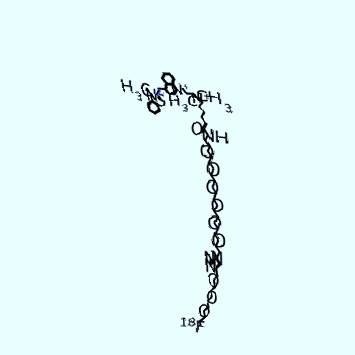 CN1/C(=C/c2cc[n+](CCC[N+](C)(C)CCCCCC(=O)NCCOCCOCCOCCOCCOCCOCCn3cc(COCCOCCOCC[18F])nn3)c3ccccc23)Sc2ccccc21